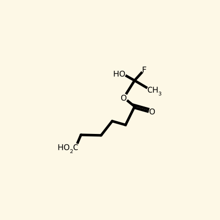 CC(O)(F)OC(=O)CCCCC(=O)O